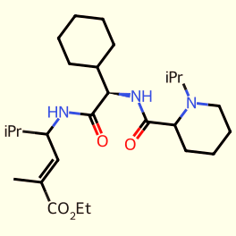 CCOC(=O)/C(C)=C/C(NC(=O)[C@H](NC(=O)C1CCCCN1C(C)C)C1CCCCC1)C(C)C